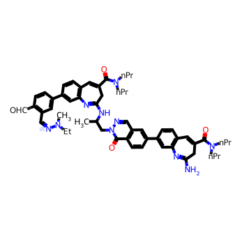 CCCN(CCC)C(=O)C1=Cc2ccc(-c3ccc4c(=O)n(CC(C)NC5=Nc6cc(-c7ccc(C=O)c(/C=N\N(C)CC)c7)ccc6C=C(C(=O)N(CCC)CCC)C5)ncc4c3)cc2N=C(N)C1